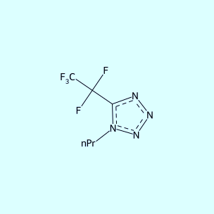 CCCn1nnnc1C(F)(F)C(F)(F)F